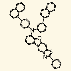 c1ccc(-c2nc3cc4c(cc3s2)oc2c(N(c3ccc(-c5cccc6ccccc56)cc3)c3cccc(-c5ccc6ccccc6c5)c3)cccc24)cc1